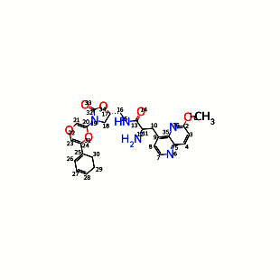 COc1ccc2nccc(C[C@@H](N)C(=O)NC[C@@H]3CN(C4=COC=C(C5=CC=CCC5)O4)C(=O)O3)c2n1